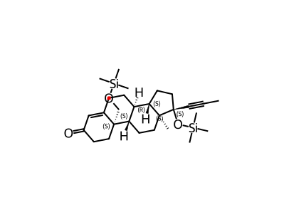 CC#C[C@]1(O[Si](C)(C)C)CC[C@H]2[C@@H]3CCC4=CC(=O)CC[C@]4(CO[Si](C)(C)C)[C@H]3CC[C@@]21C